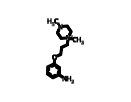 CN1CC[N+](C)(CCCOc2cccc(N)c2)CC1